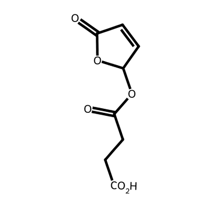 O=C(O)CCC(=O)OC1C=CC(=O)O1